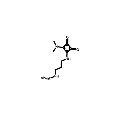 CCCCCNCCCNc1c(N(C)C)c(=O)c1=O